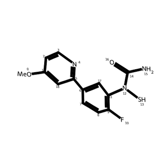 COc1ccnc(-c2ccc(F)c(N(S)C(N)=O)c2)c1